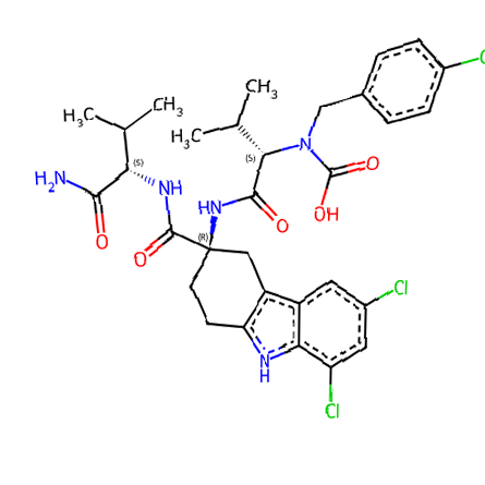 CC(C)[C@H](NC(=O)[C@@]1(NC(=O)[C@H](C(C)C)N(Cc2ccc(Cl)cc2)C(=O)O)CCc2[nH]c3c(Cl)cc(Cl)cc3c2C1)C(N)=O